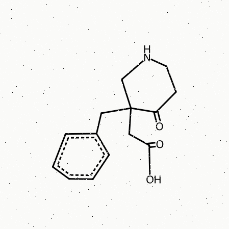 O=C(O)CC1(Cc2ccccc2)CNCCC1=O